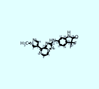 Cn1cc(-c2nccn3nc(Nc4ccc5c(c4)NC(=O)C5(F)F)nc23)cn1